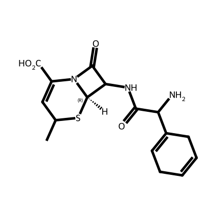 CC1C=C(C(=O)O)N2C(=O)C(NC(=O)C(N)C3=CCC=CC3)[C@H]2S1